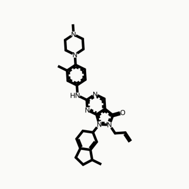 C=CCn1c(=O)c2cnc(Nc3ccc(N4CCN(C)CC4)c(C)c3)nc2n1C1C=C2C(=CC1)CCC2C